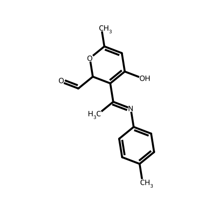 CC1=CC(O)=C(C(C)=Nc2ccc(C)cc2)C(C=O)O1